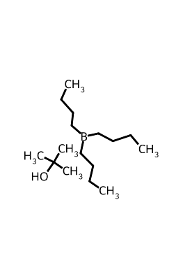 CC(C)(C)O.CCCCB(CCCC)CCCC